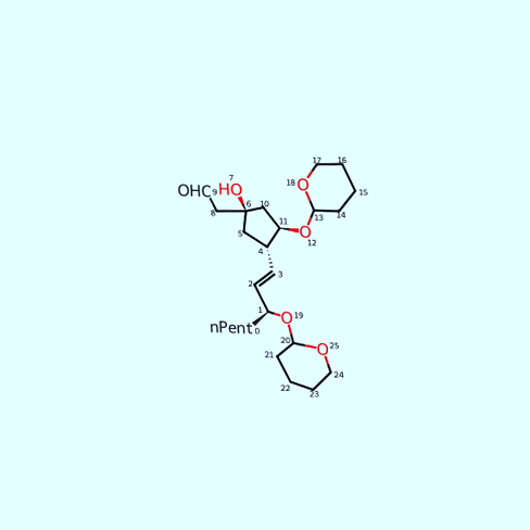 CCCCC[C@@H](C=C[C@@H]1C[C@](O)(CC=O)C[C@H]1OC1CCCCO1)OC1CCCCO1